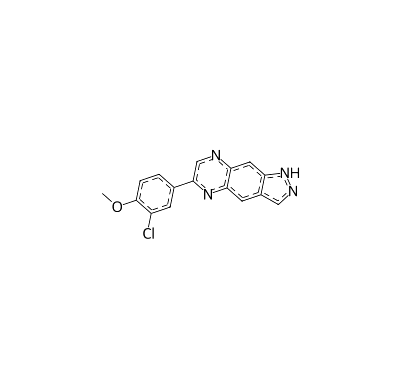 COc1ccc(-c2cnc3cc4[nH]ncc4cc3n2)cc1Cl